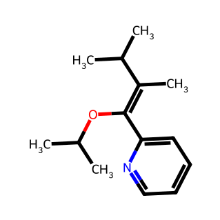 C/C(=C(/OC(C)C)c1ccccn1)C(C)C